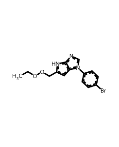 CCOOCc1cc2c(ncn2-c2ccc(Br)cc2)[nH]1